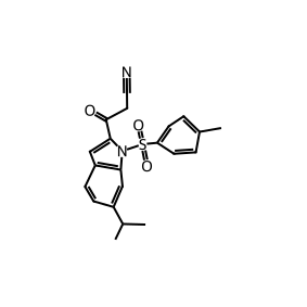 Cc1ccc(S(=O)(=O)n2c(C(=O)CC#N)cc3ccc(C(C)C)cc32)cc1